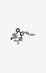 COCCNc1nc(-c2cnc(NC(C)C)s2)cc(-c2ccccc2CNS(=O)(=O)NC2CC2)n1